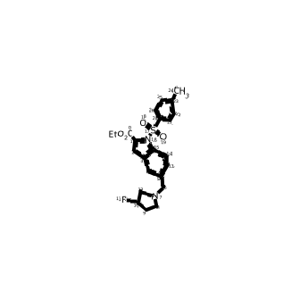 CCOC(=O)c1cc2cc(CN3CCC(F)C3)ccc2n1S(=O)(=O)c1ccc(C)cc1